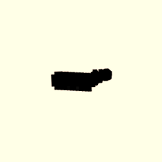 FC(F)(F)C(F)(F)C(F)(F)C(F)(F)C(F)(F)C(F)(F)C(F)(F)C(F)(F)C(F)(F)C(F)(F)C(F)(F)C(F)(F)CC1CC(c2ccccc2)=NO1